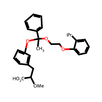 COC(Cc1cccc(OC(C)(OCCOc2ccccc2C(C)C)c2ccccc2)c1)C(=O)O